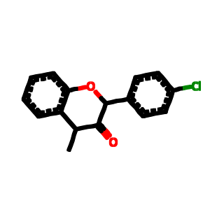 CC1C(=O)C(c2ccc(Cl)cc2)Oc2ccccc21